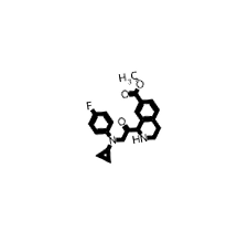 COC(=O)c1ccc2c(c1)C(C(=O)CN(c1ccc(F)cc1)C1CC1)NCC2